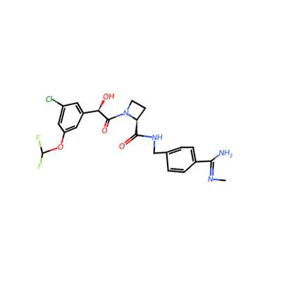 C/N=C(\N)c1ccc(CNC(=O)[C@@H]2CCN2C(=O)[C@H](O)c2cc(Cl)cc(OC(F)F)c2)cc1